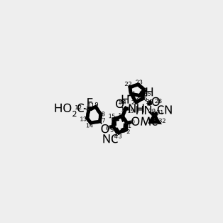 COc1cc(C#N)c(O[C@H]2CC[C@@](F)(C(=O)O)CC2)cc1C(=O)N[C@@H]1[C@H]2CC[C@H](C2)[C@@H]1C(=O)NC1(C#N)CC1